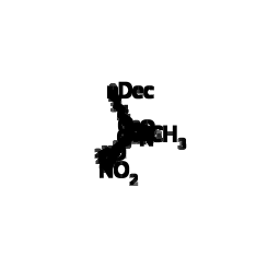 CCCCCCCCCCCCCCCCOc1cc2oc(C)nc2cc1OCCOc1cccc([N+](=O)[O-])c1